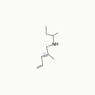 C=C/C=C(\C)CNC(C)CC